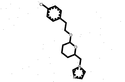 Clc1ccc(CCOC2CCCC(Cn3ccnc3)O2)cc1